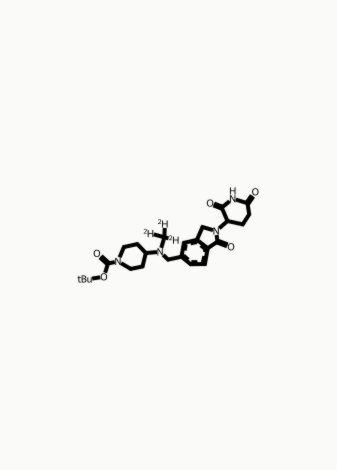 [2H]C([2H])([2H])N(Cc1ccc2c(c1)CN(C1CCC(=O)NC1=O)C2=O)C1CCN(C(=O)OC(C)(C)C)CC1